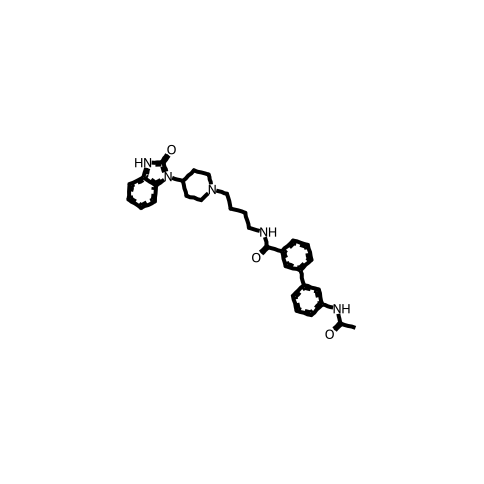 CC(=O)Nc1cccc(-c2cccc(C(=O)NCCCCN3CCC(n4c(=O)[nH]c5ccccc54)CC3)c2)c1